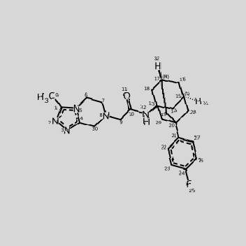 Cc1nnc2n1CCN(CC(=O)NC13C[C@H]4C[C@@H](C1)CC(c1ccc(F)cc1)(C4)C3)C2